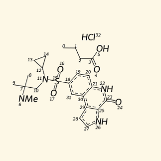 CCCC(=O)O.CNC(C)(C)CN(C1CC1)S(=O)(=O)c1ccc2[nH]c(=O)c3[nH]ccc3c2c1.Cl